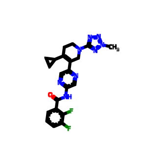 Cn1nnc(N2CCC(C3CC3)=C(c3cnc(NC(=O)c4cccc(F)c4F)cn3)C2)n1